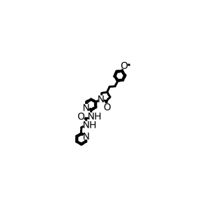 COc1ccc(CCC2CC(=O)N(c3ccnc(NC(=O)NCc4ccccn4)c3)C2)cc1